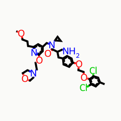 COCCCc1cc(CN(C(=O)C(CN)Cc2ccc(OCCOc3c(Cl)cc(C)cc3Cl)cc2)C2CC2)cc(OCCN2CCOCC2)n1